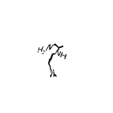 CC(CN)NCCCN(C)C